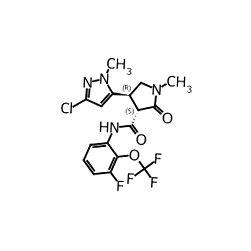 CN1C[C@H](c2cc(Cl)nn2C)[C@@H](C(=O)Nc2cccc(F)c2OC(F)(F)F)C1=O